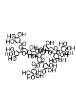 O=C(OC1Cc2c(O)cc(O)c(Cc3c(O)c(Cc4c(O)cc5c(c4O)C[C@@H](OC(=O)c4cc(O)c(O)c(O)c4)[C@@H](c4cc(O)c(O)c(O)c4)O5)c(O)c4c3O[C@H](c3cc(O)c(O)c(O)c3)[C@H](OC(=O)c3cc(O)c(O)c(O)c3)C4)c2OC1c1cc(O)c(O)c(O)c1)c1cc(O)c(O)c(O)c1